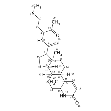 CSCCC(NC(=O)C1CC[C@H]2[C@@H]3CCC4NC(=O)C=C[C@]4(C)[C@@H]3CC[C@]12C)C(C)=O